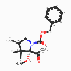 COC(=O)[C@]1(O[SiH3])N(C(=O)OCc2ccccc2)C[C@H](C(C)(C)C)C1(C)C